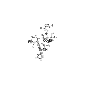 CCOC(=O)C1=C(CN2CC(F)(F)C3C2CCN3CC(C)C(=O)O)NC(c2nccs2)=N[C@H]1c1cccc(F)c1C